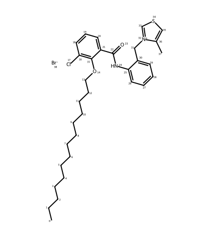 CCCCCCCCCCCCCCOc1c(Cl)cccc1C(=O)Nc1ccccc1C[n+]1cscc1C.[Br-]